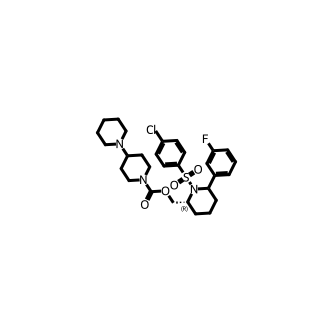 O=C(OC[C@H]1CCCC(c2cccc(F)c2)N1S(=O)(=O)c1ccc(Cl)cc1)N1CCC(N2CCCCC2)CC1